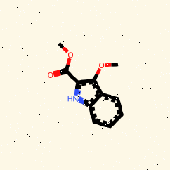 COC(=O)c1[nH]c2ccccc2c1OC